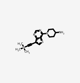 C[Si](C)(C)C#Cc1csc2c(N3CCC(N)CC3)ncnc12